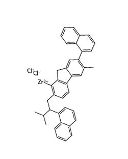 Cc1cc2c(cc1-c1cccc3ccccc13)Cc1c-2ccc(CC(c2cccc3ccccc23)C(C)C)[c]1[Zr+2].[Cl-].[Cl-]